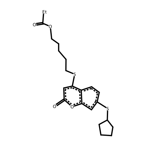 CCC(=O)OCCCCCSc1cc(=O)oc2cc(SC3CCCC3)ccc12